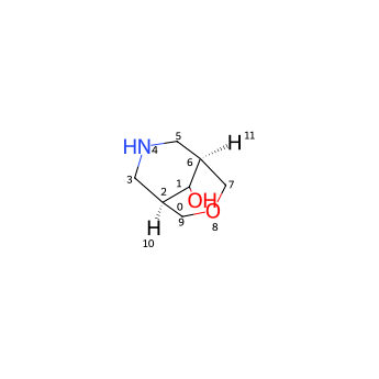 OC1[C@@H]2CNC[C@H]1COC2